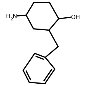 NC1CCC(O)C(Cc2ccccc2)C1